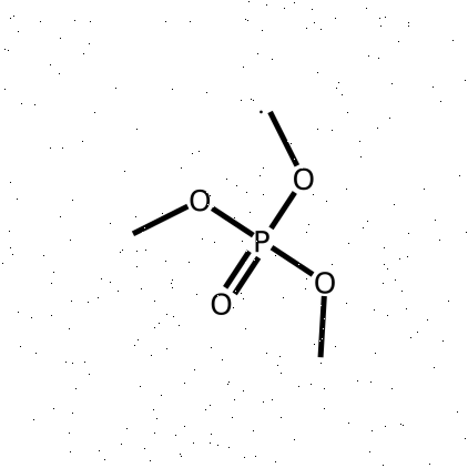 [CH2]OP(=O)(OC)OC